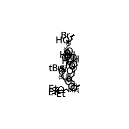 C=C(Br)C[C@H](O)CC[C@@]12C[C@H]3O[C@H]4C(O1)[C@H]1O[C@@H](CC(=O)CC5C(C[C@H]6O[C@@H](CCCO[Si](CC)(CC)CC)C[C@@H](C)C6=C)O[C@H](C[C@H](C)CO[Si](C)(C)C(C)(C)C)[C@@H]5C)CC[C@@H]1O[C@H]4[C@H]3O2